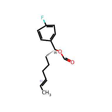 C/C=C/CCC[C@@H](OC=O)c1ccc(F)cc1